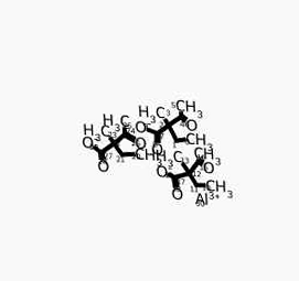 CCC(C)(C(C)=O)C(=O)[O-].CCC(C)(C(C)=O)C(=O)[O-].CCC(C)(C(C)=O)C(=O)[O-].[Al+3]